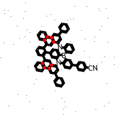 N#Cc1ccc(-c2ccc3c(c2)B2c4ccccc4N(c4cc(-c5ccccc5)cc(-c5ccccc5)c4)c4cc(-c5c(-c6ccccc6)cccc5-c5ccccc5)cc(c42)N3c2cc(-c3ccccc3)cc(-c3ccccc3)c2)cc1